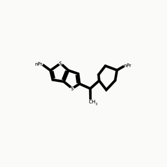 CCCc1cc2sc(C(C)C3CCC(CCC)CC3)cc2s1